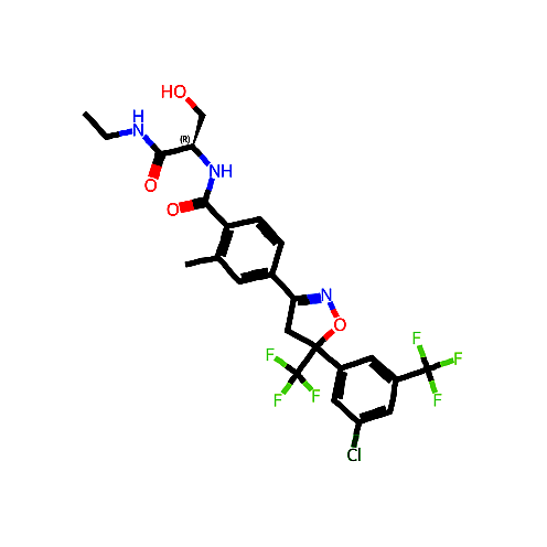 CCNC(=O)[C@@H](CO)NC(=O)c1ccc(C2=NOC(c3cc(Cl)cc(C(F)(F)F)c3)(C(F)(F)F)C2)cc1C